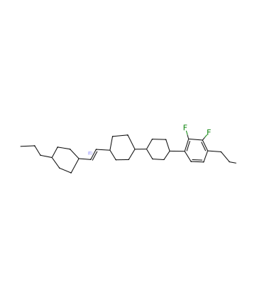 CCCc1ccc(C2CCC(C3CCC(/C=C/C4CCC(CCC)CC4)CC3)CC2)c(F)c1F